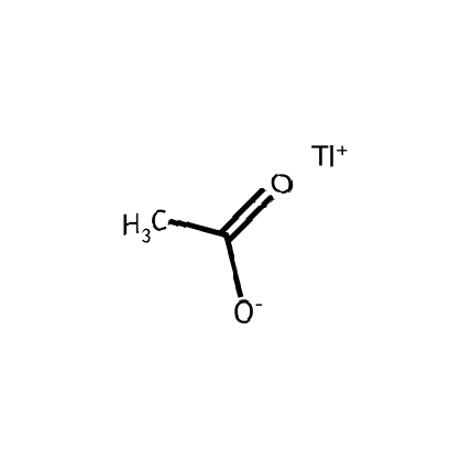 CC(=O)[O-].[Tl+]